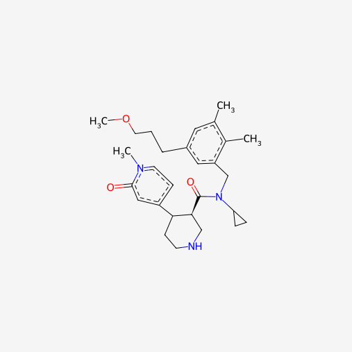 COCCCc1cc(C)c(C)c(CN(C(=O)[C@H]2CNCCC2c2ccn(C)c(=O)c2)C2CC2)c1